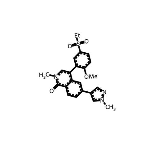 CCS(=O)(=O)c1ccc(OC)c(-c2cn(C)c(=O)c3ccc(-c4cnn(C)c4)cc23)c1